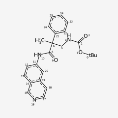 CC(C)(C)OC(=O)NCC(C)(C(=O)Nc1ccc2cnccc2c1)c1ccccc1